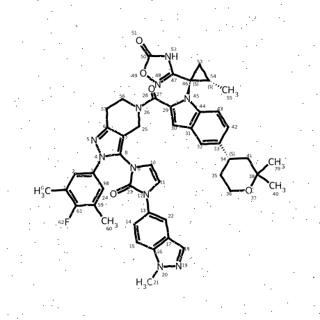 Cc1cc(-n2nc3c(c2-n2ccn(-c4ccc5c(cnn5C)c4)c2=O)CN(C(=O)c2cc4cc([C@H]5CCOC(C)(C)C5)ccc4n2[C@@]2(c4noc(=O)[nH]4)C[C@@H]2C)CC3)cc(C)c1F